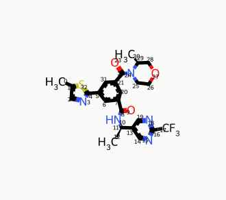 Cc1cnc(-c2cc(C(=O)N[C@H](C)c3cnc(C(F)(F)F)nc3)cc(C(=O)N3CCOC[C@@H]3C)c2)s1